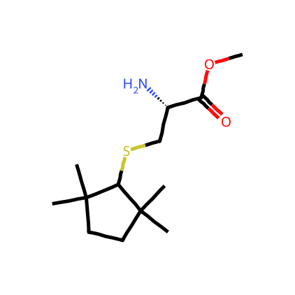 COC(=O)[C@@H](N)CSC1C(C)(C)CCC1(C)C